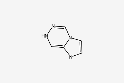 C1=CN2C=NNC=C2[N]1